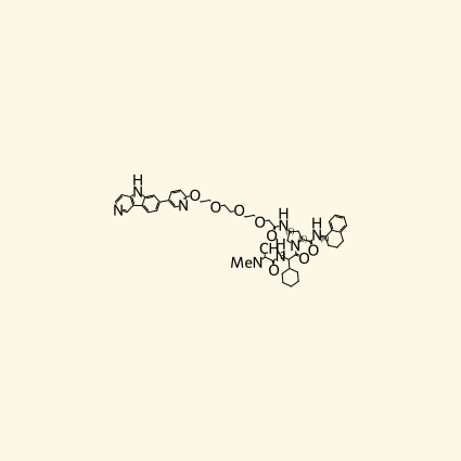 CNC(C)C(=O)NC(C(=O)N1C[C@@H](NC(=O)COCCOCCOCCOc2ccc(-c3ccc4c(c3)[nH]c3ccncc34)cn2)C[C@H]1C(=O)N[C@@H]1CCCc2ccccc21)C1CCCCC1